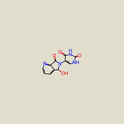 O=C1c2ncccc2C(O)N1c1c[nH]c(=O)[nH]c1=O